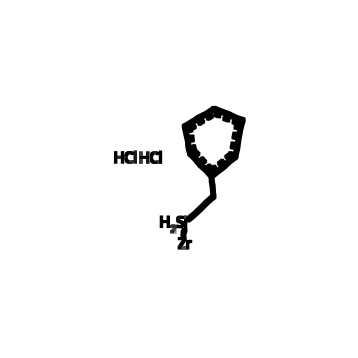 Cl.Cl.[Zr][SiH2]Cc1ccccc1